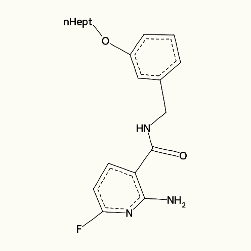 CCCCCCCOc1cccc(CNC(=O)c2ccc(F)nc2N)c1